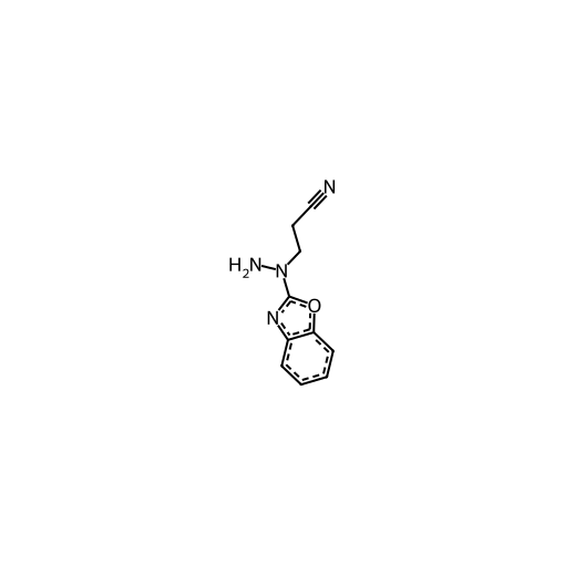 N#CCCN(N)c1nc2ccccc2o1